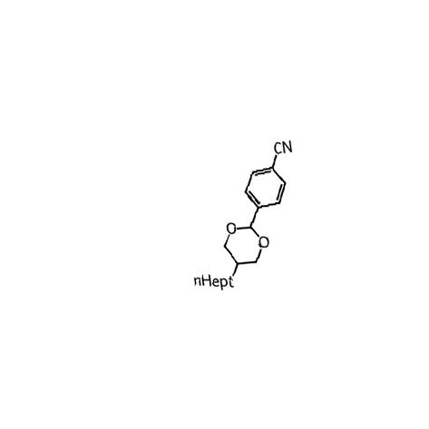 CCCCCCCC1COC(c2ccc(C#N)cc2)OC1